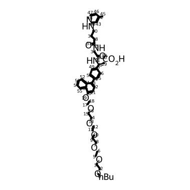 CCCCOCCOCCOCCOCCOCCOCCOc1ccc(-c2ccc([C@H](CC(=O)O)NC(=O)CNC(=O)CCCNc3cc(C)ccn3)cc2)c2ccccc12